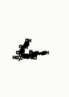 CC(C)(S)CCCOc1cc(Cl)c(C(=O)Nc2ccc(C[C@H](NC(=O)c3ccc(C(=O)NCc4cccc(O)c4)cc3Cl)C(=O)O)cc2)c(Cl)c1